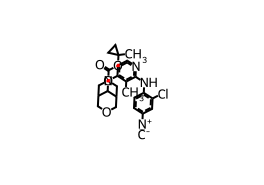 [C-]#[N+]c1ccc(Nc2nccc(OC3C4COCC3CN(C(=O)OC3(C)CC3)C4)c2C)c(Cl)c1